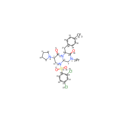 CC(C)N1CC2N(C(=O)C(N3CCCC3)CN2S(=O)(=O)c2ccc(Cl)cc2Cl)C(Cc2ccc(C(F)(F)F)cc2)C1=O